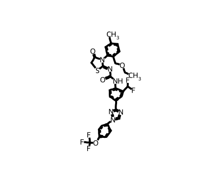 CCOCc1ccc(C)cc1N1C(=O)CSC1=NC(=O)Nc1ccc(-c2ncn(-c3ccc(OC(F)(F)F)cc3)n2)cc1C(F)F